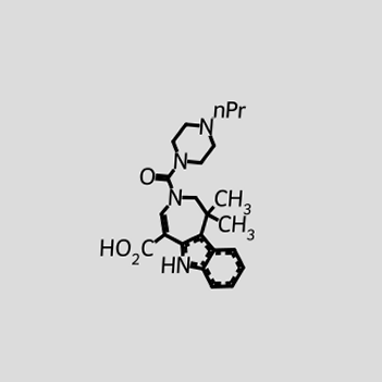 CCCN1CCN(C(=O)N2C=C(C(=O)O)c3[nH]c4ccccc4c3C(C)(C)C2)CC1